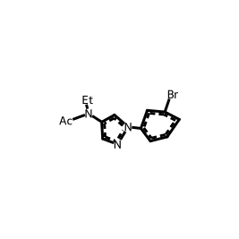 CCN(C(C)=O)c1cnn(-c2cccc(Br)c2)c1